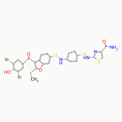 CCc1oc2cc(SNc3ccc(SNc4nc(C(N)=O)cs4)cc3)ccc2c1C(=O)c1cc(Br)c(O)c(Br)c1